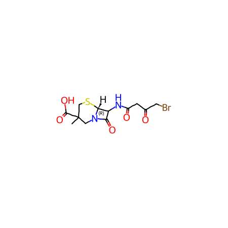 CC1(C(=O)O)CS[C@@H]2C(NC(=O)CC(=O)CBr)C(=O)N2C1